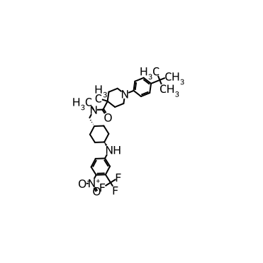 CN(C[C@H]1CC[C@H](Nc2ccc([N+](=O)[O-])c(C(F)(F)F)c2)CC1)C(=O)C1(C)CCN(c2ccc(C(C)(C)C)cc2)CC1